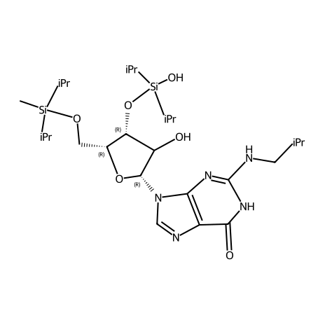 CC(C)CNc1nc2c(ncn2[C@@H]2O[C@H](CO[Si](C)(C(C)C)C(C)C)[C@H](O[Si](O)(C(C)C)C(C)C)C2O)c(=O)[nH]1